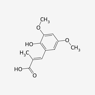 COc1cc(/C=C(\C)C(=O)O)c(O)c(OC)c1